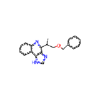 CC(COCc1ccccc1)c1nc2ccccc2c2[nH]cnc12